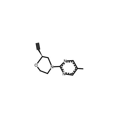 C#C[C@H]1CN(c2ncc(C)cn2)CCO1